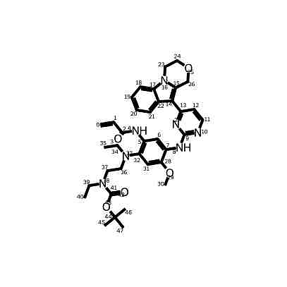 C=CC(=O)Nc1cc(Nc2nccc(-c3c4n(c5ccccc35)CCOC4)n2)c(OC)cc1N(CC)CCN(CC)C(=O)OC(C)(C)C